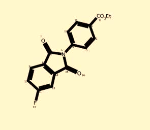 CCOC(=O)c1ccc(N2C(=O)c3ccc(F)cc3C2=O)cc1